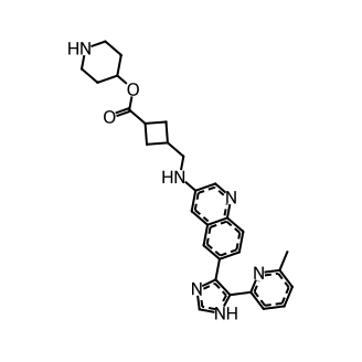 Cc1cccc(-c2[nH]cnc2-c2ccc3ncc(NCC4CC(C(=O)OC5CCNCC5)C4)cc3c2)n1